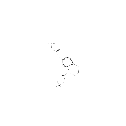 CC(C)(C)OC(=O)Oc1ccc2c(c1)N(C(=O)OC(C)(C)C)CCC2